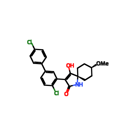 CO[C@H]1CC[C@@]2(CC1)NC(=O)C(c1cc(-c3ccc(Cl)cc3)ccc1Cl)=C2O